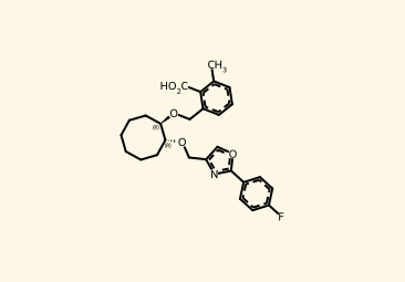 Cc1cccc(CO[C@@H]2CCCCCC[C@H]2OCc2coc(-c3ccc(F)cc3)n2)c1C(=O)O